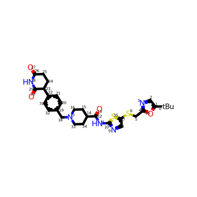 CC(C)(C)c1cnc(CSc2cnc(NC(=O)C3CCN(Cc4ccc(C5CCC(=O)NC5=O)cc4)CC3)s2)o1